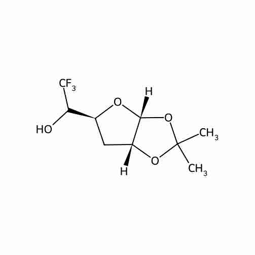 CC1(C)O[C@H]2O[C@H](C(O)C(F)(F)F)C[C@H]2O1